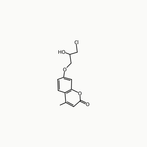 Cc1cc(=O)oc2cc(OCC(O)CCl)ccc12